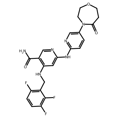 NC(=O)c1cnc(Nc2ccc(N3CCOCCC3=O)cn2)cc1NCc1c(F)ccc(F)c1F